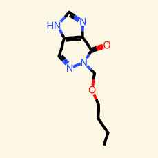 CCCCOCn1ncc2[nH]cnc2c1=O